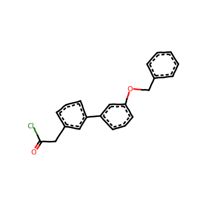 O=C(Cl)Cc1cccc(-c2cccc(OCc3ccccc3)c2)c1